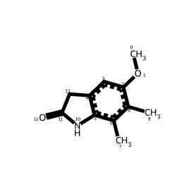 COc1cc2c(c(C)c1C)NC(=O)C2